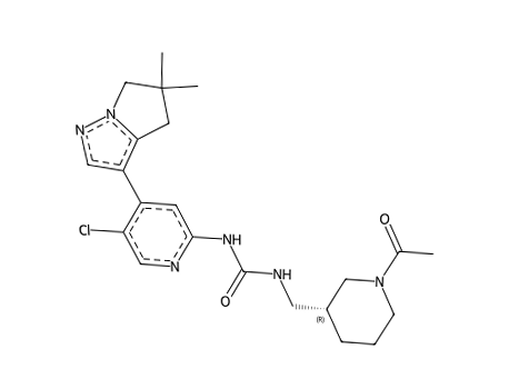 CC(=O)N1CCC[C@H](CNC(=O)Nc2cc(-c3cnn4c3CC(C)(C)C4)c(Cl)cn2)C1